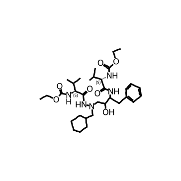 CCOC(=O)N[C@H](C(=O)NC(Cc1ccccc1)C(O)CN(CC1CCCCC1)NC(=O)[C@@H](NC(=O)OCC)C(C)C)C(C)C